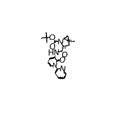 CC(C)(C)OC(=O)N1C2C[C@]2(C)C[C@H]1C(=O)Nc1cccn(-c2ccccn2)c1=O